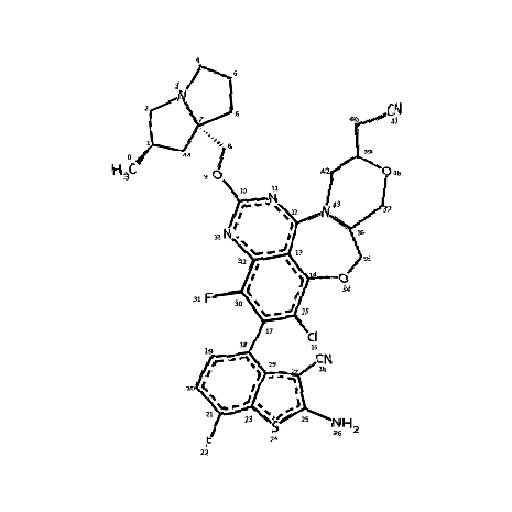 C[C@H]1CN2CCC[C@@]2(COc2nc3c4c(c(Cl)c(-c5ccc(F)c6sc(N)c(C#N)c56)c(F)c4n2)OCC2COC(CC#N)CN32)C1